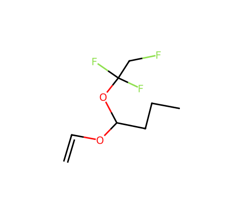 C=COC(CCC)OC(F)(F)CF